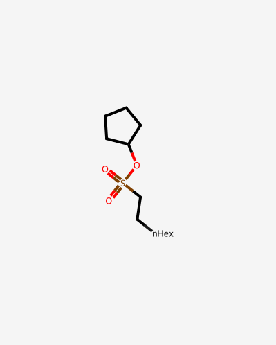 [CH2]CCCCCCCS(=O)(=O)OC1CCCC1